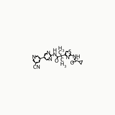 CC(C)(C(=O)Nc1ncc(-c2cncc(C#N)c2)cn1)c1csc(N[S+]([O-])C2CC2)n1